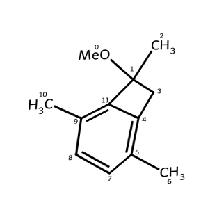 COC1(C)Cc2c(C)ccc(C)c21